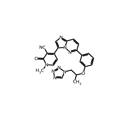 CC(Cn1cnnn1)Oc1cccc(-c2ccc3ncc(-c4ccn(C)c(=O)c4C#N)n3n2)c1